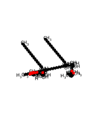 CCCCCCCCCCCCCCCCCCCCCCCCCCNC(CO[C@H]1O[C@H](COC(=S)Nc2c(C(C)C)cccc2C(C)C)[C@H](O)[C@H](O)[C@H]1O)C(O)C(O)CCCCCCCCCCCCCCC(O[C@H]1O[C@H](COC(=S)Nc2ccc(C(C)C)cc2)[C@H](O)[C@H](O)[C@H]1O)[C@@H](NCCCCCCCCCCCCCCCCCCCCCCCCCC)[C@H](O)[C@H](O)CCCCCCCCCCCCCC